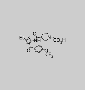 CCc1cc(C(=O)c2ccc(OC(F)(F)F)cc2)c(NC(=O)C2CCN(CC(=O)O)CC2)s1